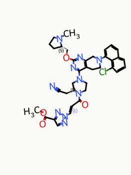 COC(=O)c1cnn(/C=C/C(=O)N2CCN(c3nc(OC[C@@H]4CCCN4C)nc4c3CCN(c3cccc5cccc(Cl)c35)C4)C[C@@H]2CC#N)n1